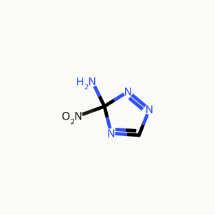 NC1([N+](=O)[O-])N=CN=N1